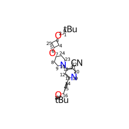 CC(C)(C)COC1CC(OC2CCN(c3cc(C#CCOC(C)(C)C)ncc3C#N)CC2)C1